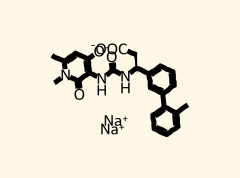 Cc1ccccc1-c1cccc([C@H](CC(=O)[O-])NC(=O)Nc2c([O-])cc(C)n(C)c2=O)c1.[Na+].[Na+]